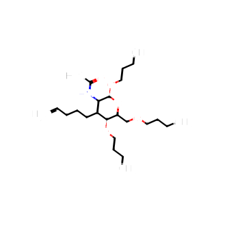 C=CCCCC1C(NC(C)=O)[C@@H](OCCCC)OC(COCCCC)[C@H]1OCCCC